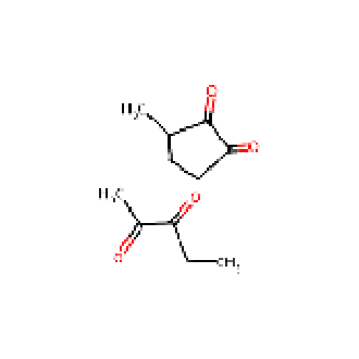 CC1CCC(=O)C1=O.CCC(=O)C(C)=O